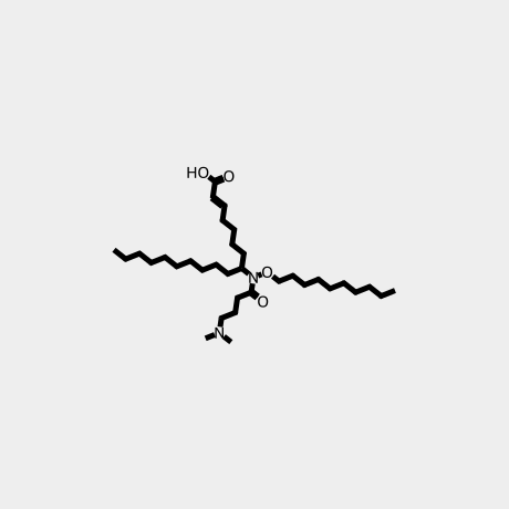 CCCCCCCCCCON(C(=O)CCCN(C)C)C(CCCCC=CC(=O)O)CCCCCCCCCC